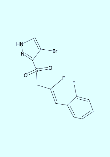 O=S(=O)(CC(F)=Cc1ccccc1F)c1n[nH]cc1Br